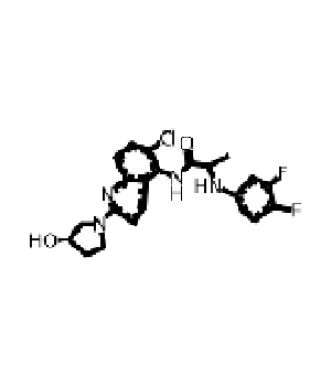 CC(Nc1ccc(F)c(F)c1)C(=O)Nc1c(Cl)ccc2nc(N3CC[C@@H](O)C3)ccc12